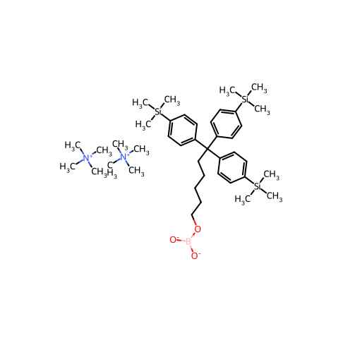 C[N+](C)(C)C.C[N+](C)(C)C.C[Si](C)(C)c1ccc(C(CCCCCOB([O-])[O-])(c2ccc([Si](C)(C)C)cc2)c2ccc([Si](C)(C)C)cc2)cc1